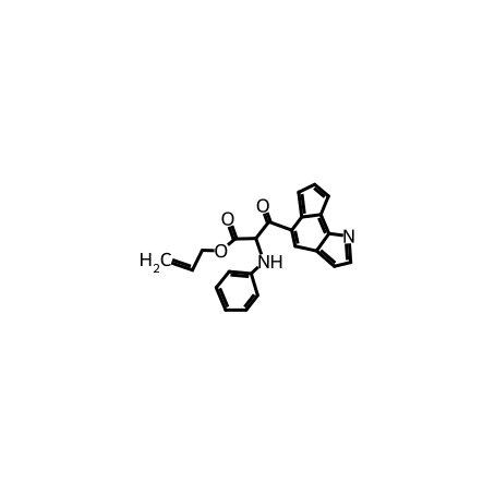 C=CCOC(=O)C(Nc1ccccc1)C(=O)c1cc2c(c3c1=CC=C3)N=CC=2